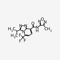 Cc1nonc1NC(=O)c1ccc(C(F)(F)F)n2c(C(C)C)nnc12